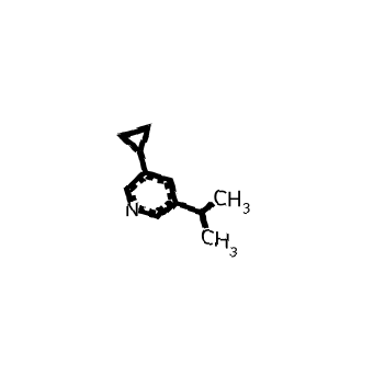 CC(C)c1cncc(C2CC2)c1